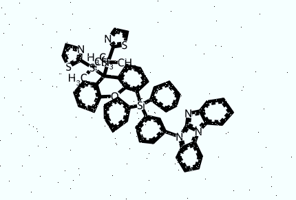 C[Si](C)(c1nccs1)C1([Si](C)(C)c2nccs2)c2ccccc2Oc2c1cccc2[Si](c1ccccc1)(c1ccccc1)c1cccc(-n2c3ccccc3n3c4ccccc4nc23)c1